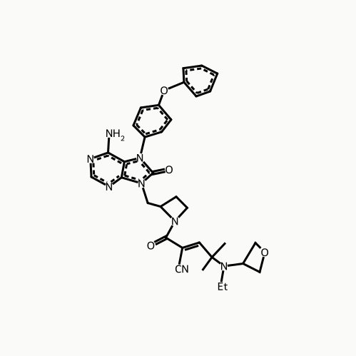 CCN(C1COC1)C(C)(C)C=C(C#N)C(=O)N1CCC1Cn1c(=O)n(-c2ccc(Oc3ccccc3)cc2)c2c(N)ncnc21